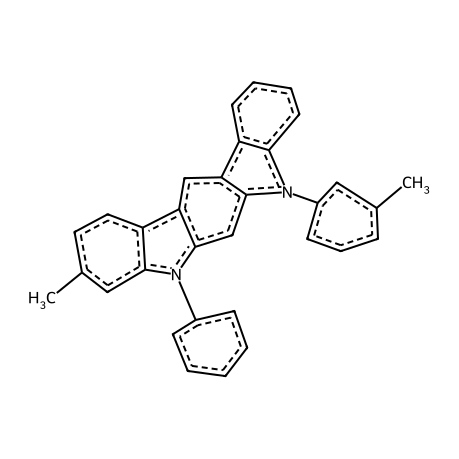 Cc1cccc(-n2c3ccccc3c3cc4c5ccc(C)cc5n(-c5ccccc5)c4cc32)c1